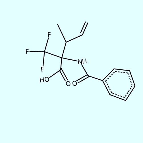 C=CC(C)C(NC(=O)c1ccccc1)(C(=O)O)C(F)(F)F